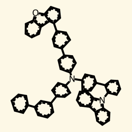 c1ccc(-c2cccc(-c3ccc(N(c4ccc(-c5ccc(-c6cccc7oc8ccccc8c67)cc5)cc4)c4ccc(-c5ccccc5-n5c6ccccc6c6ccccc65)cc4)cc3)c2)cc1